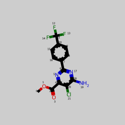 COC(=O)c1nc(-c2ccc(C(F)(F)F)cc2)nc(N)c1Cl